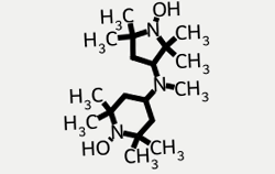 CN(C1CC(C)(C)N(O)C(C)(C)C1)C1CC(C)(C)N(O)C1(C)C